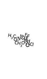 C[C@@H]1CN(c2cc(NC(=O)c3cccc(Cl)n3)c(C(F)(F)F)cn2)C[C@H](C)O1